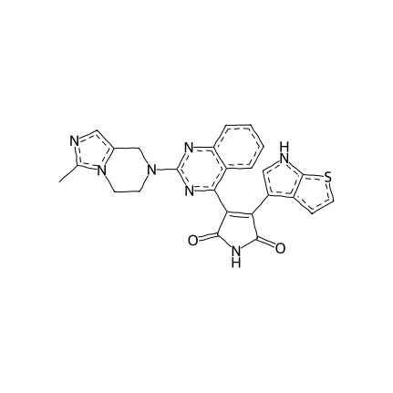 Cc1ncc2n1CCN(c1nc(C3=C(c4c[nH]c5sccc45)C(=O)NC3=O)c3ccccc3n1)C2